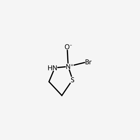 [O-][N+]1(Br)NCCS1